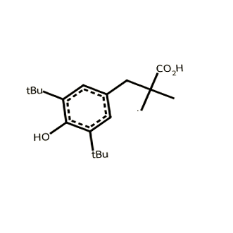 [CH2]C(C)(Cc1cc(C(C)(C)C)c(O)c(C(C)(C)C)c1)C(=O)O